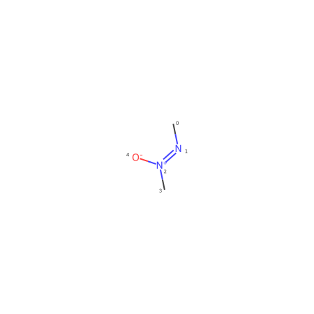 C/N=[N+](/C)[O-]